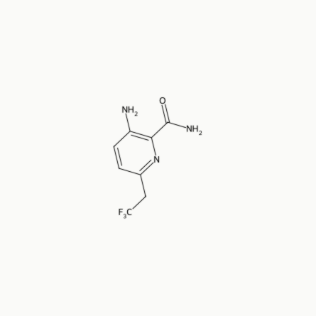 NC(=O)c1nc(CC(F)(F)F)ccc1N